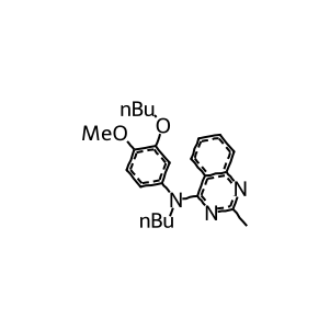 CCCCOc1cc(N(CCCC)c2nc(C)nc3ccccc23)ccc1OC